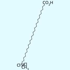 C[Si](Cl)(Cl)CCCCCCCCCCCCCCCCCCCCCCCCCCCCC(=O)O